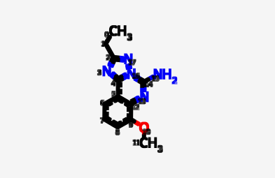 CCc1nc2c3cccc(OC)c3nc(N)n2n1